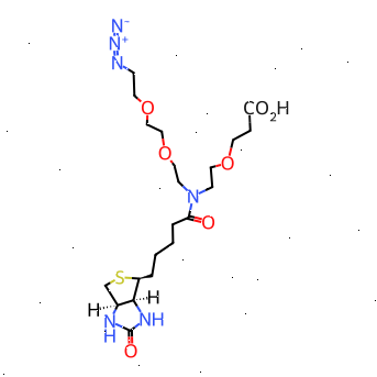 [N-]=[N+]=NCCOCCOCCN(CCOCCC(=O)O)C(=O)CCCC[C@@H]1SC[C@@H]2NC(=O)N[C@@H]21